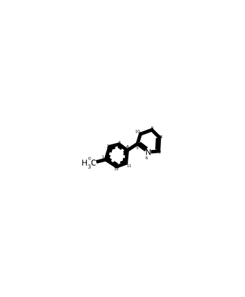 Cc1ccc(C2=NC=CCC2)cc1